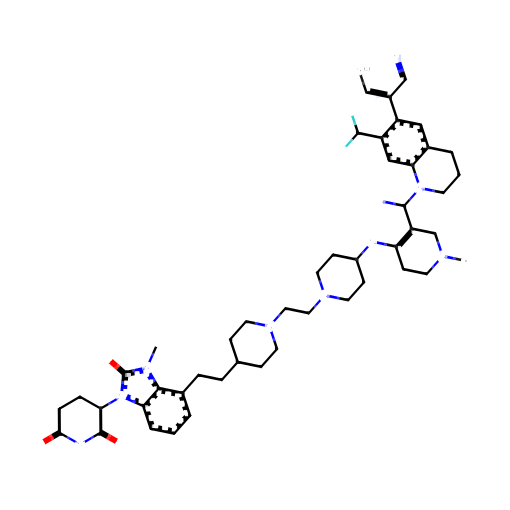 CN/C=C(\C=N)c1cc2c(cc1C(F)F)N(C(N)C1=C(NC3CCN(CCN4CCC(CCc5cccc6c5n(C)c(=O)n6C5CCC(=O)NC5=O)CC4)CC3)CCN(C(C)=O)C1)CCC2